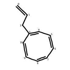 C=CCC1=CC=CC=CC=C1